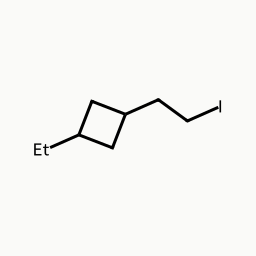 CCC1CC(CCI)C1